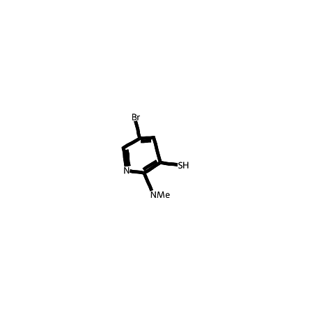 CNc1ncc(Br)cc1S